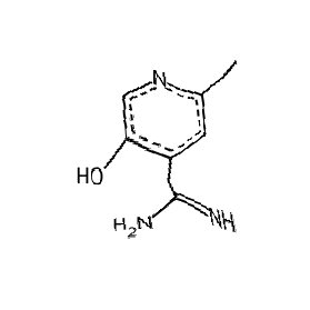 Cc1cc(C(=N)N)c(O)cn1